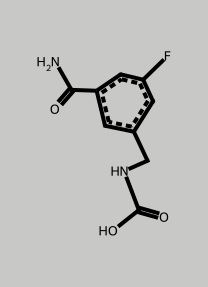 NC(=O)c1cc(F)cc(CNC(=O)O)c1